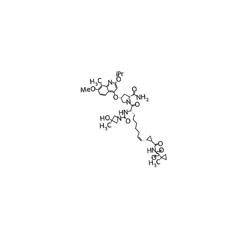 COc1ccc2c(O[C@@H]3C[C@@H](C(N)=O)N(C(=O)[C@H](CCCCC/C=C\[C@@H]4CC4C(=O)NS(=O)(=O)C4(C)CC4)NC(=O)N4CC(C)(O)C4)C3)cc(OC(C)C)nc2c1C